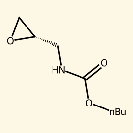 CCCCOC(=O)NC[C@H]1CO1